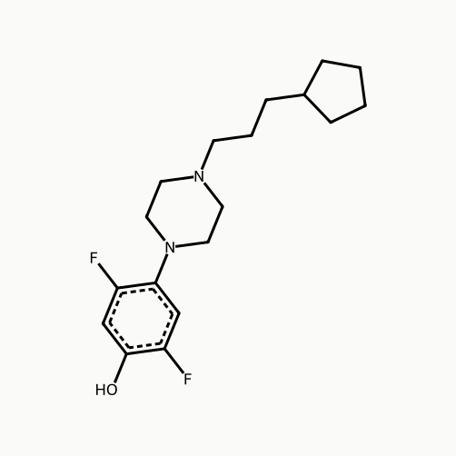 Oc1cc(F)c(N2CCN(CCCC3CCCC3)CC2)cc1F